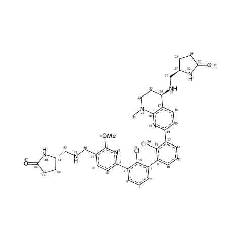 COc1nc(-c2cccc(-c3cccc(-c4ccc5c(n4)N(C)CC[C@H]5NC[C@H]4CCC(=O)N4)c3Cl)c2Cl)ccc1CNC[C@@H]1CCC(=O)N1